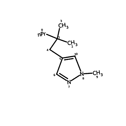 CCCC(C)(C)Cc1cnn(C)c1